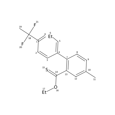 C=C(/C=C\C(=C/CC)c1ccc(C)cc1C(=S)OCC)C(C)(F)F